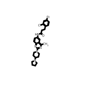 CCc1ccc(CCC(=O)Nc2ccc3nc(N4CCC(N5CCCC5)CC4)nc(C)c3c2)c(Cl)c1